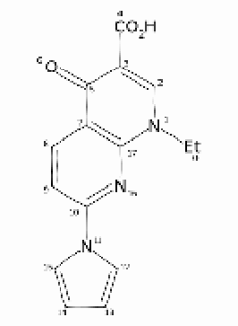 CCn1cc(C(=O)O)c(=O)c2ccc(-n3cccc3)nc21